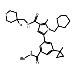 Cc1c(C(=O)NCC2(O)CCOCC2)cc(-c2cc(C(=O)NC(C)(C)C)cc(C3(C)CC3)c2)n1CC1CCCCC1